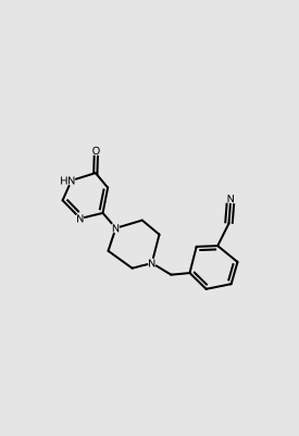 N#Cc1cccc(CN2CCN(c3cc(=O)[nH]cn3)CC2)c1